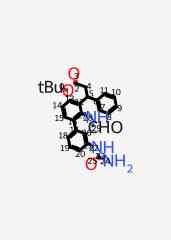 CC(C)(C)OC(=O)CC(c1ccccc1)c1cccc(-c2cccc(NC(N)=O)c2)c1NC=O